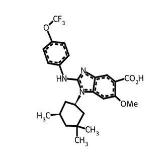 COc1cc2c(cc1C(=O)O)nc(Nc1ccc(OC(F)(F)F)cc1)n2[C@@H]1C[C@H](C)CC(C)(C)C1